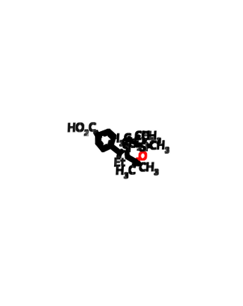 CCC(c1ccc(C(=O)O)cc1)[Si]1(C)CC(C)(C)O[Si](C)(C)[Si]1(C)C